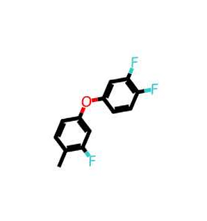 Cc1ccc(Oc2ccc(F)c(F)c2)cc1F